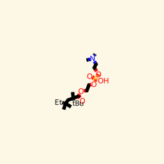 CCC(C)(C)CC(C)(C(=O)OCCOP(=O)(O)OCCN(C)C)C(C)(C)C